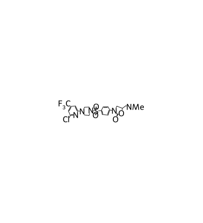 CNCC1CN(c2ccc(S(=O)(=O)N3CCN(c4cc(C(F)(F)F)cc(Cl)n4)CC3)cc2)C(=O)O1